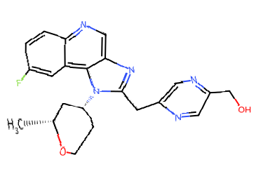 C[C@@H]1C[C@H](n2c(Cc3cnc(CO)cn3)nc3cnc4ccc(F)cc4c32)CCO1